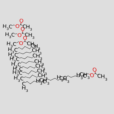 CCCCCC.CCCCCC.CCCCCC.CCCCCC.CCCCCC.CCCCCC.CCCCCC.CCCCCC.CCCCCC.CCCCCC.CCOC(C)=O.CCOC(C)=O.CCOC(C)=O.CCOC(C)=O